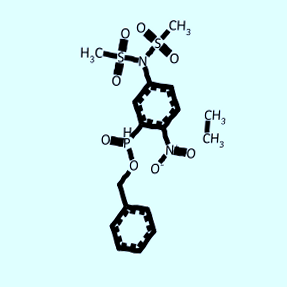 CC.CS(=O)(=O)N(c1ccc([N+](=O)[O-])c([PH](=O)OCc2ccccc2)c1)S(C)(=O)=O